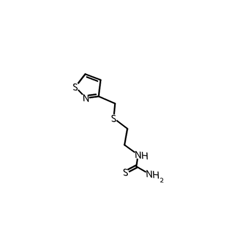 NC(=S)NCCSCc1ccsn1